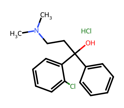 CN(C)CCC(O)(c1ccccc1)c1ccccc1Cl.Cl